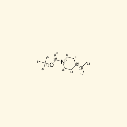 C=C(OC(C)(C)C)N1CCC(C(C)C)CC1